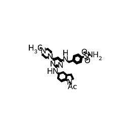 CC(=O)N1CCC2CC(Nc3nc(NCc4ccc(S(N)(=O)=O)cc4)cc(N4CCN(C)CC4)n3)CC=C21